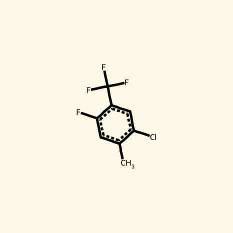 Cc1cc(F)c(C(F)(F)F)cc1Cl